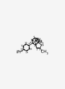 CC1=C2c3c(ccc(c3-c3ccc(C(C)C)cc3)[Si]2(C)C)[CH]1